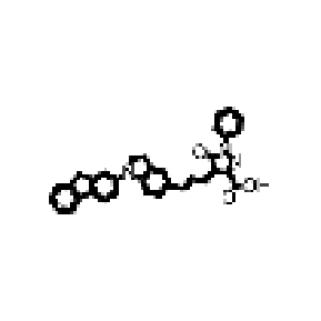 O=C(O)C1=NN(c2ccccc2)C(=O)/C1=C\C=C\c1ccc2c(c1)CCN2c1ccc2c(c1)Cc1ccccc1-2